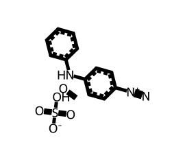 C=O.N#[N+]c1ccc(Nc2ccccc2)cc1.O=S(=O)([O-])O